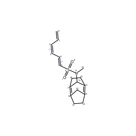 C=C/C=C\C=C\S(=O)(=O)N(C)C1C2=C3CCC(=C1CC2)C3